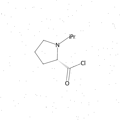 CC(C)N1CCC[C@H]1C(=O)Cl